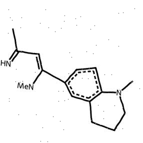 CN/C(=C\C(C)=N)c1ccc2c(c1)CCCN2C